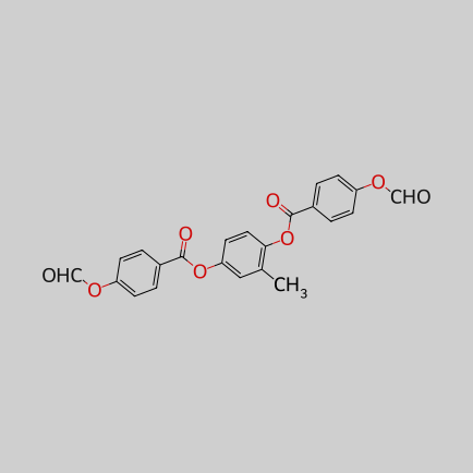 Cc1cc(OC(=O)c2ccc(OC=O)cc2)ccc1OC(=O)c1ccc(OC=O)cc1